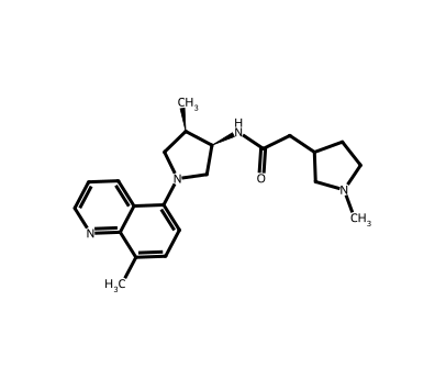 Cc1ccc(N2C[C@@H](C)[C@@H](NC(=O)CC3CCN(C)C3)C2)c2cccnc12